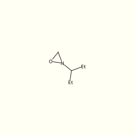 CCC(CC)N1[CH]O1